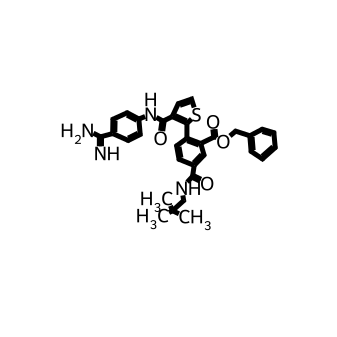 CC(C)(C)CNC(=O)c1ccc(-c2sccc2C(=O)Nc2ccc(C(=N)N)cc2)c(C(=O)OCc2ccccc2)c1